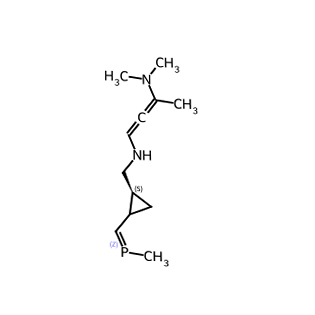 C/P=C\C1C[C@@H]1CNC=C=C(C)N(C)C